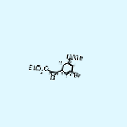 CCOC(=O)C1OC1c1cc(Br)cc(OC)c1